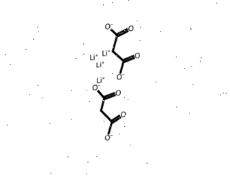 O=C([O-])CC(=O)[O-].O=C([O-])CC(=O)[O-].[Li+].[Li+].[Li+].[Li+]